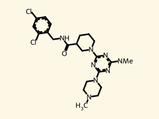 CNc1nc(N2CCN(C)CC2)nc(N2CCCC(C(=O)NCc3ccc(Cl)cc3Cl)C2)n1